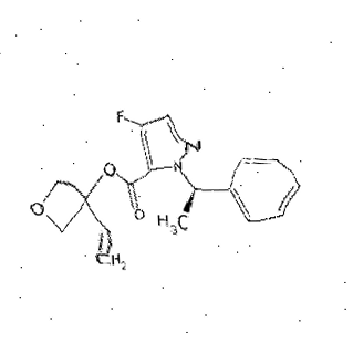 C=CC1(OC(=O)c2c(F)cnn2[C@H](C)c2ccccc2)COC1